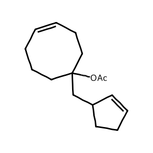 CC(=O)OC1(CC2C=CCC2)CCC=CCCC1